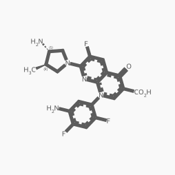 C[C@@H]1CN(c2nc3c(cc2F)c(=O)c(C(=O)O)cn3-c2cc(N)c(F)cc2F)C[C@H]1N